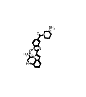 CC1CNc2cccc3cc(-c4nc5cc(C(=O)N6CCC[C@@H](N)C6)ccc5n4C)n1c23